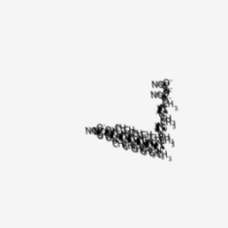 Cn1cc[n+](C)c1.Cn1cc[n+](C)c1.Cn1cc[n+](C)c1.Cn1cc[n+](C)c1.Cn1cc[n+](C)c1.Cn1cc[n+](C)c1.Cn1cc[n+](C)c1.Cn1cc[n+](C)c1.N#CB([O-])[O-].N#CB([O-])[O-].N#CB([O-])[O-].N#CB([O-])[O-]